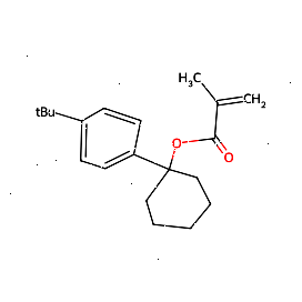 C=C(C)C(=O)OC1(c2ccc(C(C)(C)C)cc2)CCCCC1